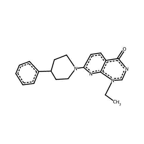 CCn1cnc(=O)c2ccc(N3CCC(c4ccccc4)CC3)nc21